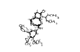 CCC(CC)n1c(=O)ccc2cnc(Nc3cc(OC)c(OC)c(OC)c3)nc21